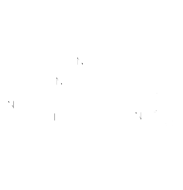 CN1C(=O)C(C)(C)c2ccc(-c3cn(-c4ccncc4F)cn3)cc21